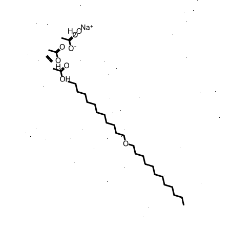 C=C.CC(=O)O.CC(=O)O.CC(=O)[O-].CCCCCCCCCCCCOCCCCCCCCCCCC.O.[Na+]